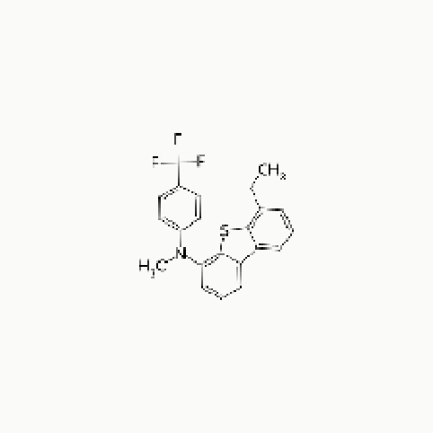 CCc1cccc2c1sc1c(N(C)c3ccc(C(F)(F)F)cc3)cccc12